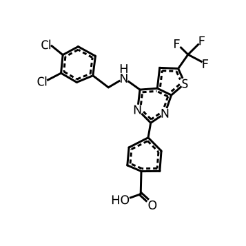 O=C(O)c1ccc(-c2nc(NCc3ccc(Cl)c(Cl)c3)c3cc(C(F)(F)F)sc3n2)cc1